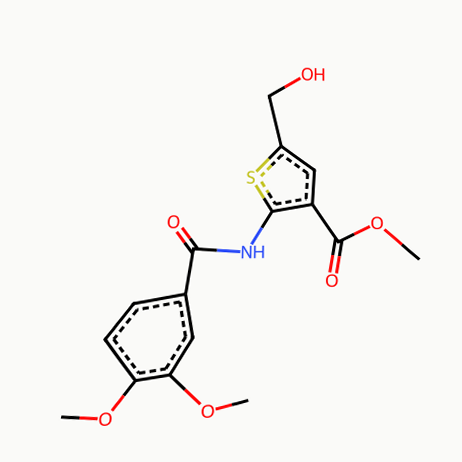 COC(=O)c1cc(CO)sc1NC(=O)c1ccc(OC)c(OC)c1